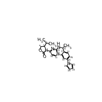 CC(C)C1COC(=O)N1c1ccnc(N[C@@H](C)c2ccc(-n3cccc3)cc2)n1